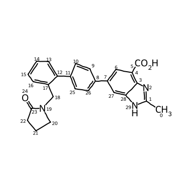 Cc1nc2c(C(=O)O)cc(-c3ccc(-c4ccccc4CN4CCCC4=O)cc3)cc2[nH]1